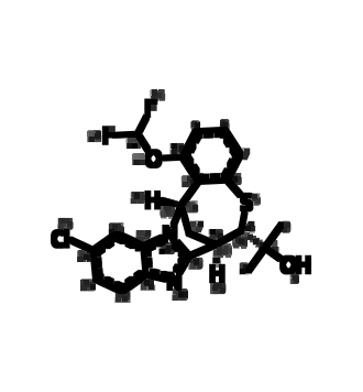 CC(C)(O)[C@H]1Sc2cccc(OC(F)F)c2[C@@H]2C[C@@H]1c1nc3ccc(Cl)cc3n12